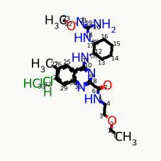 CCOCCNC(=O)c1nc(N[C@H]2CCCC[C@H]2N/C(N)=N\OC)c2cc(C)ccc2n1.Cl.Cl